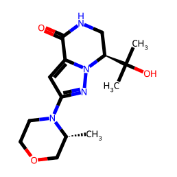 C[C@@H]1COCCN1c1cc2n(n1)[C@H](C(C)(C)O)CNC2=O